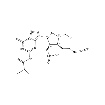 CC(C)C(=O)Nc1nc2c(ncn2[C@@H]2O[C@H](CO)[C@@H](CCN=[N+]=[N-])[C@H]2O[PH](=O)O)c(=O)[nH]1